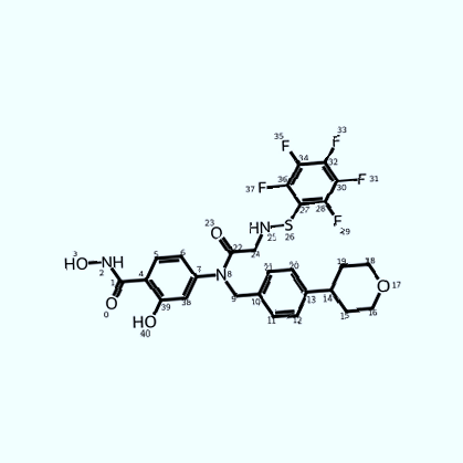 O=C(NO)c1ccc(N(Cc2ccc(C3CCOCC3)cc2)C(=O)CNSc2c(F)c(F)c(F)c(F)c2F)cc1O